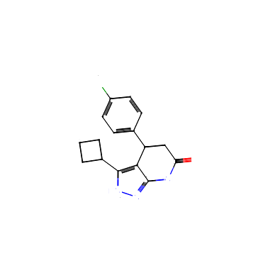 O=C1CC(c2ccc(F)cc2)c2c(n[nH]c2C2CCC2)N1